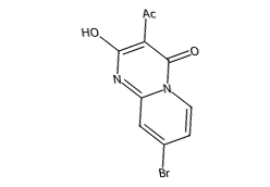 CC(=O)c1c(O)nc2cc(Br)ccn2c1=O